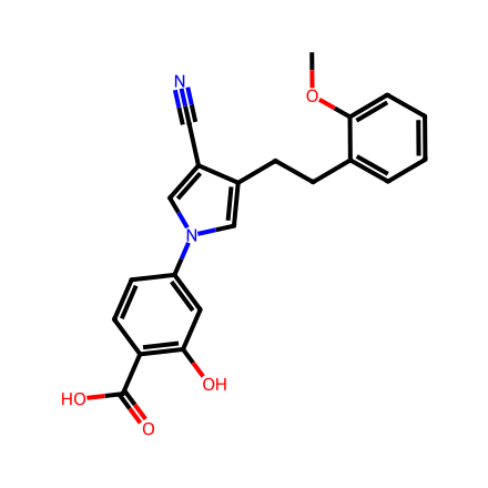 COc1ccccc1CCc1cn(-c2ccc(C(=O)O)c(O)c2)cc1C#N